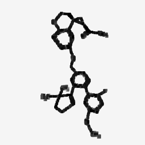 COc1ccc(F)c(-c2ccc(COc3ccc4c(c3)[C@]3(CCO4)C[C@H]3C(=O)O)cc2C2=CCCC2(C)C)c1